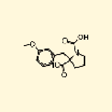 COc1cccc(CC2(C(=O)O)CCCN2C(=O)O)c1